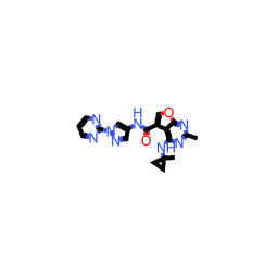 Cc1nc(NC2(C)CC2)c2c(C(=O)Nc3cnn(-c4ncccn4)c3)coc2n1